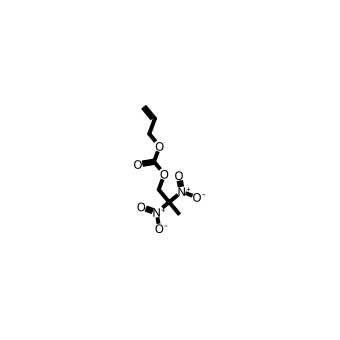 C=CCOC(=O)OCC(C)([N+](=O)[O-])[N+](=O)[O-]